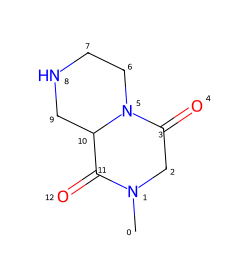 CN1CC(=O)N2CCNCC2C1=O